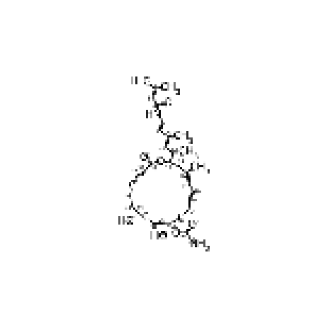 CC(C)=CC(=O)N/C=C/C(C)=C/[C@H](C)[C@H]1C/C(C)=C/C=C/CC[C@@H](OC(N)=O)[C@H](O)CC[C@H](O)CCC/C=C/C(=O)O1